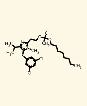 CCCCCCCCOC(C)(C)OCCc1nc(C(C)C)c(Sc2cc(Cl)cc(Cl)c2)n1C